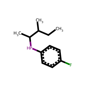 CCC(C)C(C)Pc1ccc(F)cc1